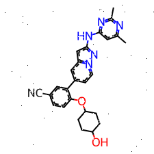 Cc1cc(Nc2cc3cc(-c4cc(C#N)ccc4OC4CCC(O)CC4)ccn3n2)nc(C)n1